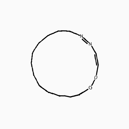 C1=COOCCCCCCCCCCCCN=N1